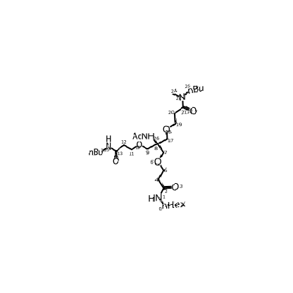 CCCCCCNC(=O)CCOCC(COCCC(=O)NCCCC)(COCCC(=O)N(C)CCCC)NC(C)=O